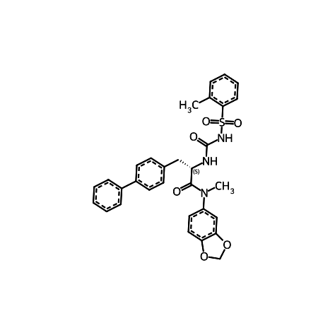 Cc1ccccc1S(=O)(=O)NC(=O)N[C@@H](Cc1ccc(-c2ccccc2)cc1)C(=O)N(C)c1ccc2c(c1)OCO2